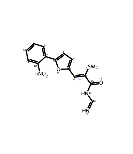 CS/C(=C\c1ccc(-c2ccccc2[N+](=O)[O-])o1)C(=O)NC=N